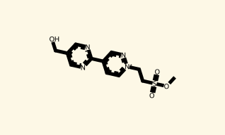 COS(=O)(=O)CC[n+]1ccc(-c2ncc(CO)cn2)cn1